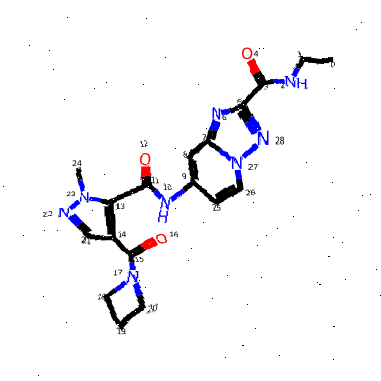 CCNC(=O)c1nc2cc(NC(=O)c3c(C(=O)N4CCC4)cnn3C)ccn2n1